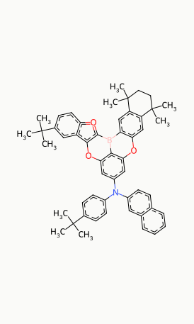 CC(C)(C)c1ccc(N(c2cc3c4c(c2)Oc2c(oc5ccc(C(C)(C)C)cc25)B4c2cc4c(cc2O3)C(C)(C)CCC4(C)C)c2ccc3ccccc3c2)cc1